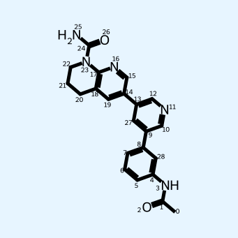 CC(=O)Nc1cccc(-c2cncc(-c3cnc4c(c3)CCCN4C(N)=O)c2)c1